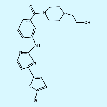 O=C(c1cccc(Nc2nccc(-c3ccc(Br)s3)n2)c1)N1CCN(CCO)CC1